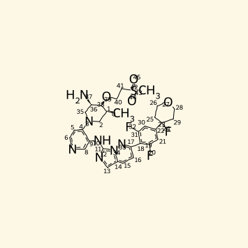 C[C@H]1CN(c2ccncc2Nc2ncc3ccc(-c4c(F)cc(C5(F)CCOCC5)cc4F)nn23)C[C@@H](N)[C@H]1OCCS(C)(=O)=O